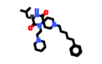 CC(C)C[C@@H]1NC(=O)C2(CCN(CCCCCc3ccccc3)CC2)N(CCN2CCCCC2)C1=O